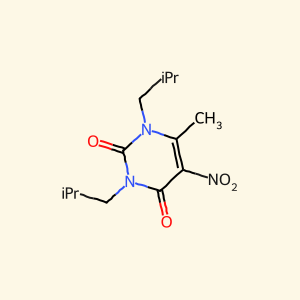 Cc1c([N+](=O)[O-])c(=O)n(CC(C)C)c(=O)n1CC(C)C